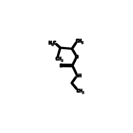 CCNC(=S)OC(C)C(C)C